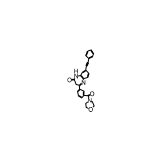 O=C1CC(c2cccc(C(=O)N3CCOCC3)c2)=Nc2ccc(C#Cc3ccccc3)cc2N1